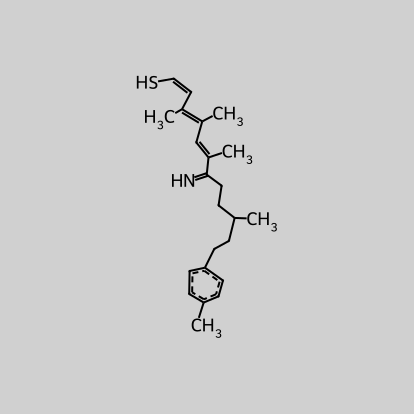 C\C(=C/C(C)=C(C)/C=C\S)C(=N)CCC(C)CCc1ccc(C)cc1